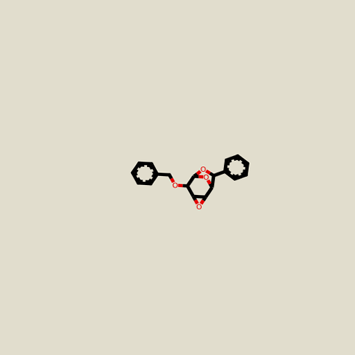 c1ccc(COC2C3OC(c4ccccc4)C(O3)C3OC23)cc1